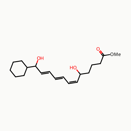 COC(=O)CCCC(O)\C=C/C=C/C=C/C(O)C1CCCCC1